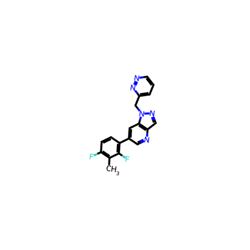 Cc1c(F)ccc(-c2cnc3cnn(Cc4cccnn4)c3c2)c1F